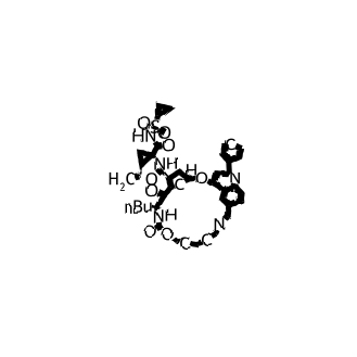 C=C[C@@H]1C[C@]1(NC(=O)[C@H]1C[C@H]2CC1C(=O)[C@H](CCCC)NC(=O)OCCCCC/N=C/c1ccc3nc(-c4ccccc4)cc(c3c1)O2)C(=O)NS(=O)(=O)C1CC1